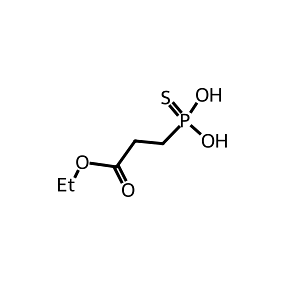 CCOC(=O)CCP(O)(O)=S